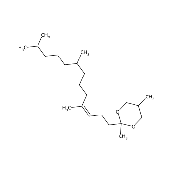 CC(=CCCC1(C)OCC(C)CO1)CCCC(C)CCCC(C)C